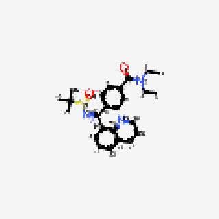 CCN(CC)C(=O)c1ccc(/C(=N\[S+]([O-])C(C)(C)C)c2cccc3cccnc23)cc1